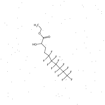 CCOC(=O)C(O)CCC(F)(F)C(F)(F)C(F)(F)C(F)(F)C(F)(F)C(F)(F)F